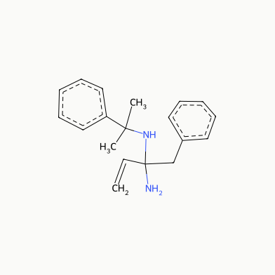 C=CC(N)(Cc1ccccc1)NC(C)(C)c1ccccc1